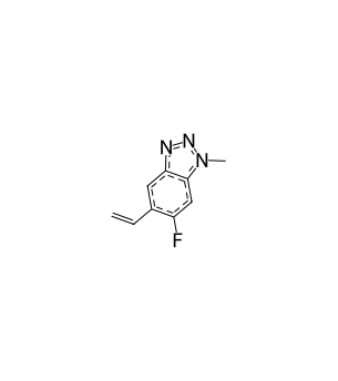 C=Cc1cc2nnn(C)c2cc1F